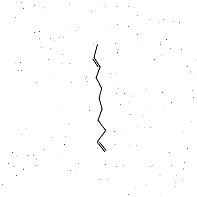 C=CCCCCCCC=CC